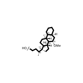 CO[C@H]1C[C@@H]2CCCC[C@]2(C)[C@H]2CC[C@]3(C)[C@@H]([C@H](C)CCC(=O)O)CC[C@H]3[C@H]12